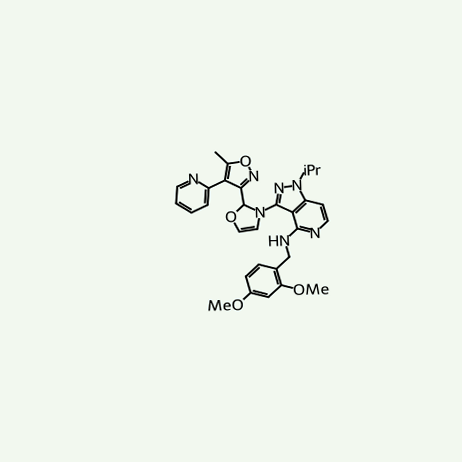 COc1ccc(CNc2nccc3c2c(N2C=COC2c2noc(C)c2-c2ccccn2)nn3C(C)C)c(OC)c1